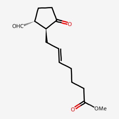 COC(=O)CCCC=CC[C@@H]1C(=O)CC[C@H]1C=O